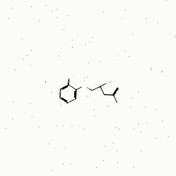 C=C(C)C[C@](C)(N)COc1ccccc1C#N